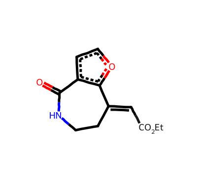 CCOC(=O)/C=C1\CCNC(=O)c2ccoc21